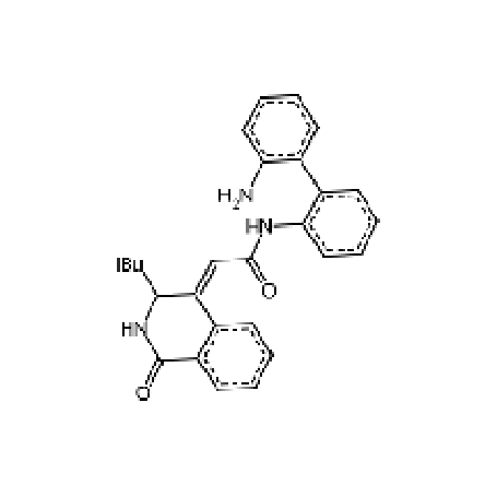 CCC(C)C1NC(=O)c2ccccc2/C1=C\C(=O)Nc1ccccc1-c1ccccc1N